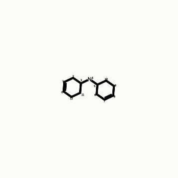 C1=CCC([N]C2CC=CCC2)CC1